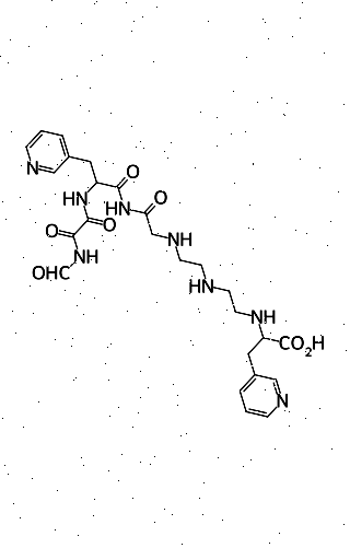 O=CNC(=O)C(=O)NC(Cc1cccnc1)C(=O)NC(=O)CNCCNCCNC(Cc1cccnc1)C(=O)O